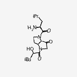 CCC(C)C(O)C(=O)N1CC(=O)C2C1CCN2C(=O)C(N)CC(C)C